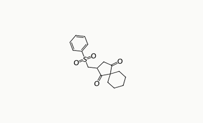 O=C1CC(CS(=O)(=O)c2ccccc2)C(=O)C12CCCCC2